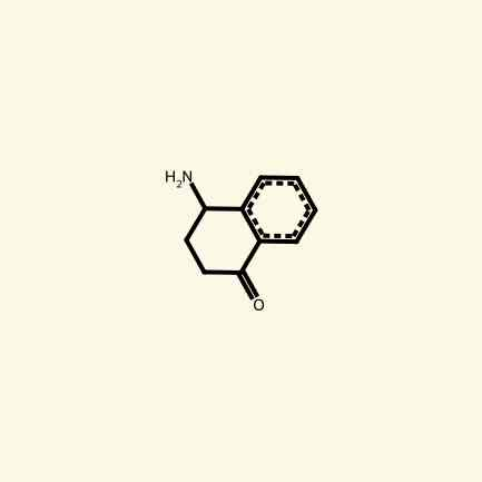 NC1CCC(=O)c2ccccc21